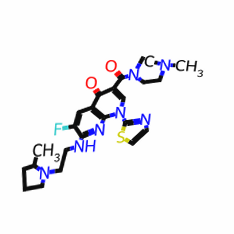 CC1CCCN1CCNc1nc2c(cc1F)c(=O)c(C(=O)N1CCN(C)CC1)cn2-c1nccs1